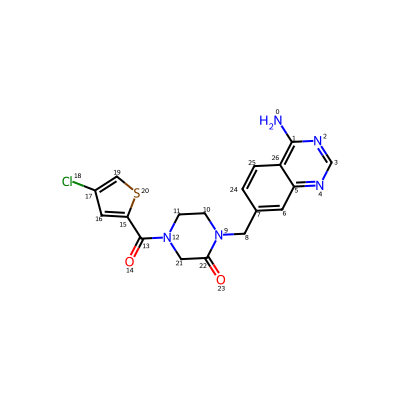 Nc1ncnc2cc(CN3CCN(C(=O)c4cc(Cl)cs4)CC3=O)ccc12